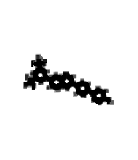 Fc1ccc(-c2ccc(-c3cnc4cc(-c5cc(C(F)(F)F)cc(C(F)(F)F)c5)ccc4c3)cc2)cc1